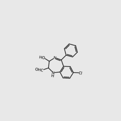 O=CC1Nc2ccc(Cl)cc2C(c2ccccc2)=NC1O